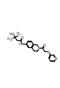 CC(C)(O)CC(=O)Nc1ccc2c(c1)CCN(C(=O)COc1cccnc1)C2